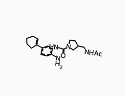 CC(=O)NCC1CCN(C(=O)Nc2cc(C3=CCCCC3)ccc2N)C1